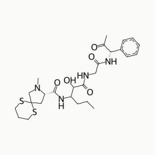 CCCC(NC(=O)[C@@H]1CC2(CN1C)SCCCS2)C(O)C(=O)NCC(=O)N[C@H](C(C)=O)c1ccccc1